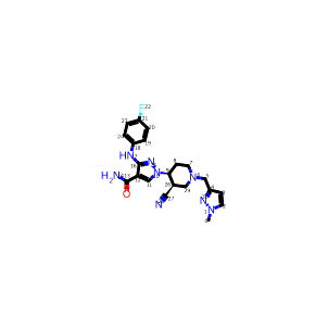 Cn1ccc(CN2CC[C@H](n3cc(C(N)=O)c(Nc4ccc(F)cc4)n3)[C@H](C#N)C2)n1